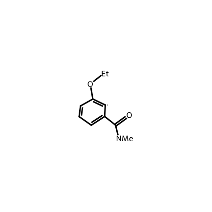 CCOc1[c]c(C(=O)NC)ccc1